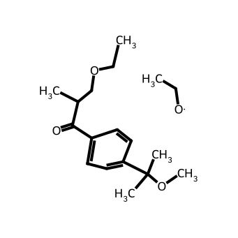 CCOCC(C)C(=O)c1ccc(C(C)(C)OC)cc1.CC[O]